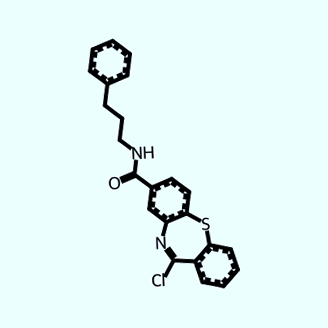 O=C(NCCCc1ccccc1)c1ccc2c(c1)N=C(Cl)c1ccccc1S2